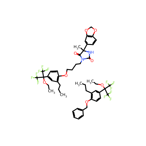 CCCc1cc(C(OCC)(C(F)(F)F)C(F)(F)F)ccc1OCCCCN1C(=O)NC(C)(c2ccc3c(c2)OCO3)C1=O.CCCc1cc(C(OCC)(C(F)(F)F)C(F)(F)F)ccc1OCc1ccccc1